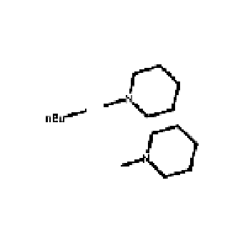 CCCCC.CN1CCCCC1.CN1CCCCC1